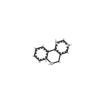 [c]1ncc2c(n1)-c1ccccc1OC2